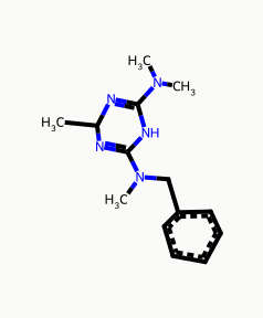 CC1N=C(N(C)C)NC(N(C)Cc2ccccc2)=N1